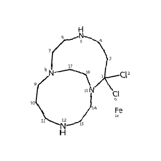 ClC1(Cl)CCNCCN2CCCNCCN1CC2.[Fe]